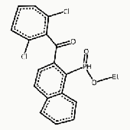 CCO[PH](=O)c1c(C(=O)c2c(Cl)cccc2Cl)ccc2ccccc12